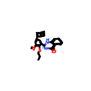 CCCOc1c(OC)cccc1C1NC(=O)c2ccccc2N1.c1cc2ccc1-2